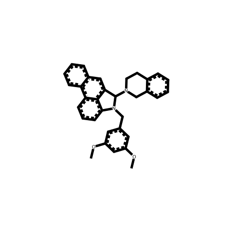 COc1cc(CN2c3cccc4c3c(cc3ccccc34)C2N2CCc3ccccc3C2)cc(OC)c1